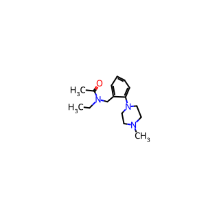 CCN(Cc1ccccc1N1CCN(C)CC1)C(C)=O